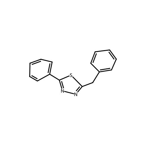 c1ccc(Cc2nnc(-c3ccccc3)s2)cc1